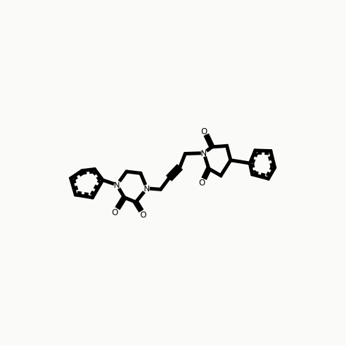 O=C1C(=O)N(c2ccccc2)CCN1CC#CCN1C(=O)CC(c2ccccc2)CC1=O